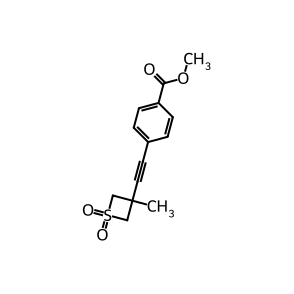 COC(=O)c1ccc(C#CC2(C)CS(=O)(=O)C2)cc1